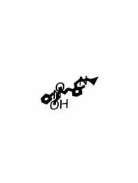 O=C(C=Cc1cccc2c1CCN(CC1CC1)C2)N(CCO)Cc1ccccc1